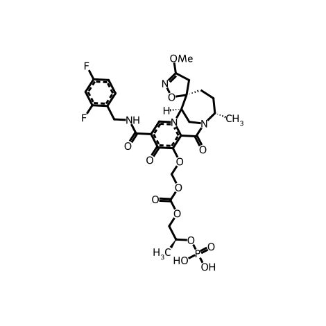 COC1=NO[C@@]2(CC[C@H](C)N3C[C@H]2n2cc(C(=O)NCc4ccc(F)cc4F)c(=O)c(OCOC(=O)OC[C@H](C)OP(=O)(O)O)c2C3=O)C1